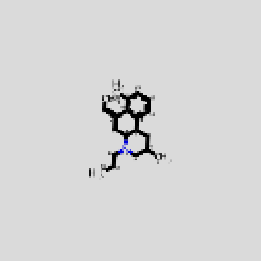 C/C=C1/CC2C(CC(C)CN2CCC)c2cccc(C)c21